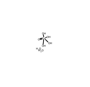 O.O.[O]=[Gd]([OH])([OH])([OH])[OH]